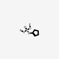 O=P(OF)(OF)OC1=CCCC1